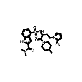 CC1CCN(C(=O)C(CCn2cccc2C#N)NS(=O)(=O)c2cccc3[nH]c(C(=O)N(C)C)cc23)CC1